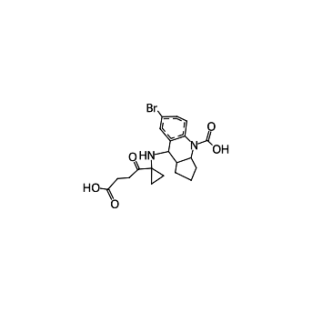 O=C(O)CCC(=O)C1(NC2c3cc(Br)ccc3N(C(=O)O)C3CCCC23)CC1